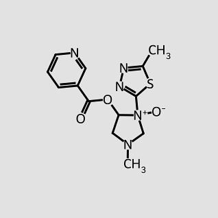 Cc1nnc([N+]2([O-])CN(C)CC2OC(=O)c2cccnc2)s1